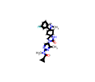 Cc1nc(N(C)C(=O)C2CC2)ncc1N1CC2(CCC(c3cccc(F)c3)(N(C)C)CC2)NC1=O